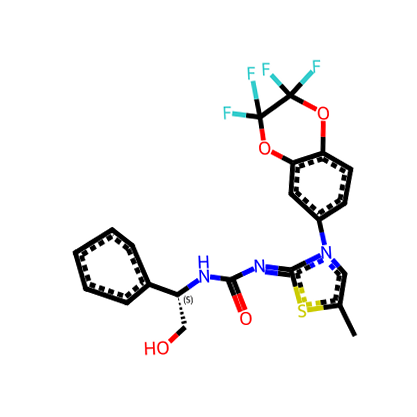 Cc1cn(-c2ccc3c(c2)OC(F)(F)C(F)(F)O3)c(=NC(=O)N[C@H](CO)c2ccccc2)s1